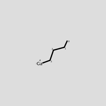 CCC[CH2][Ga]